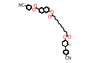 N#Cc1ccc(OC(=O)c2ccc3cc(OC(=O)CCCCCCCCCC(=O)OC4=CCC(c5ccc(C#N)cc5)C(F)=C4)ccc3c2)cc1